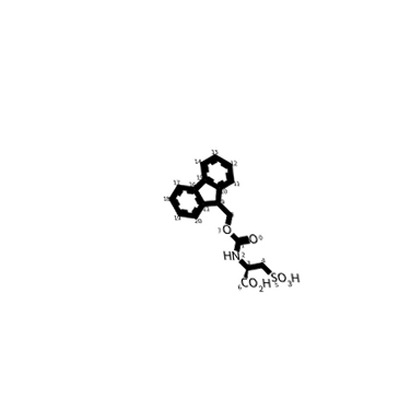 O=C(N[C@@H](CS(=O)(=O)O)C(=O)O)OCC1c2ccccc2-c2ccccc21